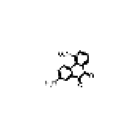 Nc1ccc2c(c1)C(=O)C(=O)c1cccc([N+](=O)[O-])c1-2